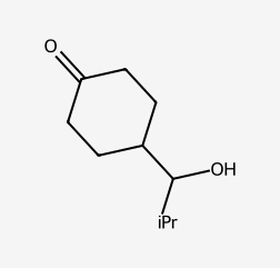 CC(C)C(O)C1CCC(=O)CC1